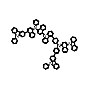 c1ccc(N(c2ccc(-c3ccc4c(c3)c3ccccc3n4-c3ccccc3)c3ccccc23)c2ccc(-n3c4ccccc4c4c(-c5ccc(N(c6ccc(-c7ccc8c(c7)c7ccccc7n8-c7ccccc7)cc6)c6ccc(-n7c8ccccc8c8ccccc87)c7ccccc67)cc5)cccc43)c3ccccc23)cc1